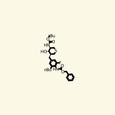 CCCCc1cc(C[C@@H]2CSC[C@H](NC(=O)OC(C)(C)C)[C@H]2O)cc(F)c1NC(=O)OCc1ccccc1